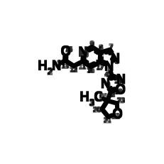 CC1(c2nc(-n3ncc4cnc(CC(N)=O)cc43)no2)CCOC1